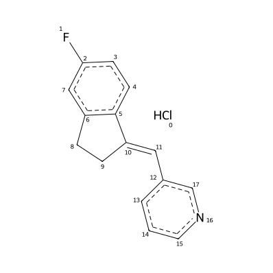 Cl.Fc1ccc2c(c1)CCC2=Cc1cccnc1